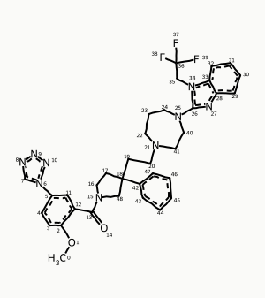 COc1ccc(-n2cnnn2)cc1C(=O)N1CCC(CCN2CCCN(c3nc4ccccc4n3CC(F)(F)F)CC2)(c2ccccc2)C1